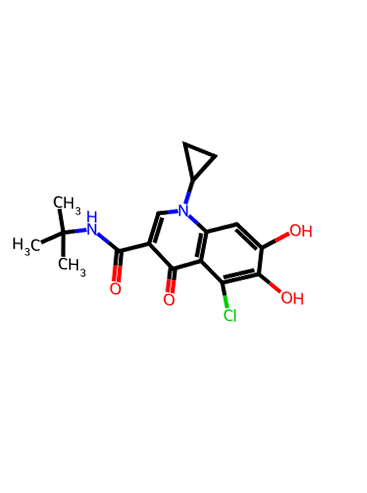 CC(C)(C)NC(=O)c1cn(C2CC2)c2cc(O)c(O)c(Cl)c2c1=O